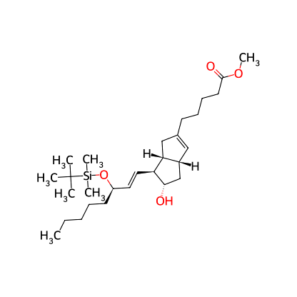 CCCCC[C@H](/C=C/[C@H]1[C@@H]2CC(CCCCC(=O)OC)=C[C@@H]2C[C@@H]1O)O[Si](C)(C)C(C)(C)C